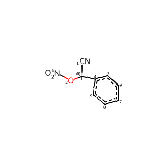 N#C[C@H](O[N+](=O)[O-])c1ccccc1